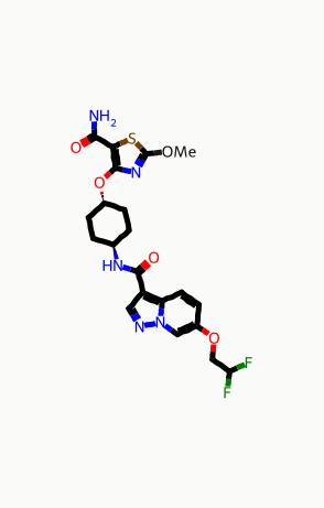 COc1nc(O[C@H]2CC[C@H](NC(=O)c3cnn4cc(OCC(F)F)ccc34)CC2)c(C(N)=O)s1